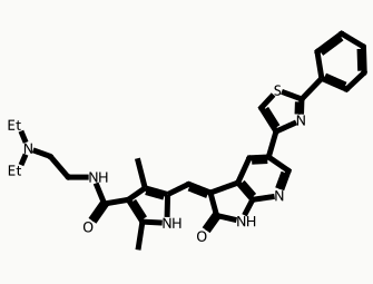 CCN(CC)CCNC(=O)c1c(C)[nH]c(/C=C2\C(=O)Nc3ncc(-c4csc(-c5ccccc5)n4)cc32)c1C